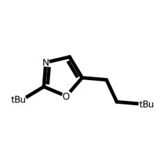 CC(C)(C)CCc1cnc(C(C)(C)C)o1